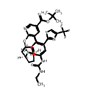 CCNC(=O)Nc1cc(-c2nc(C(F)(F)F)cs2)c(-c2cc(C(=O)OC(C)(C)C)cnc2O[C@H]2C[C@H]3CC[C@@H](C2)N3C)cn1